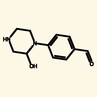 O=Cc1ccc(N2CCNCC2O)cc1